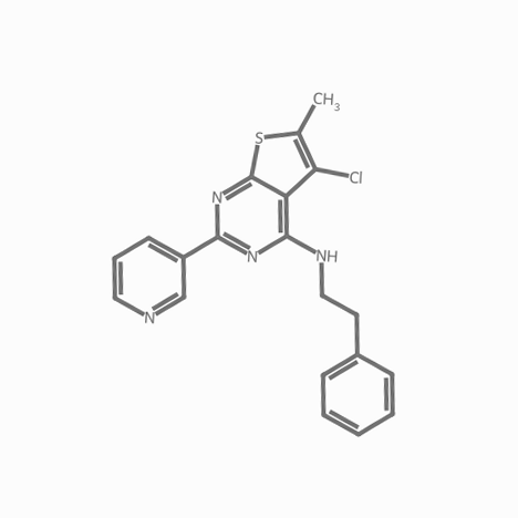 Cc1sc2nc(-c3cccnc3)nc(NCCc3ccccc3)c2c1Cl